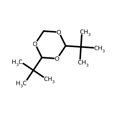 CC(C)(C)C1OCOC(C(C)(C)C)O1